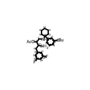 CC(=O)OC(CNC1(c2cccc(C(C)(C)C)c2)CCCCC1)C(N)Cc1cc(F)cc(F)c1